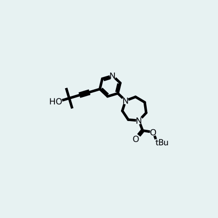 CC(C)(O)C#Cc1cncc(N2CCCN(C(=O)OC(C)(C)C)CC2)c1